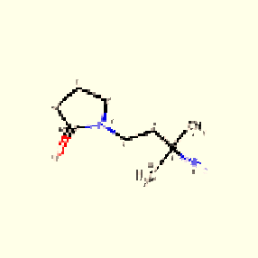 CC(C)(N)CCN1CCCC1=O